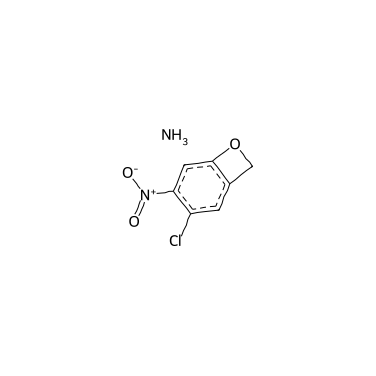 N.O=[N+]([O-])c1cc2c(cc1Cl)CO2